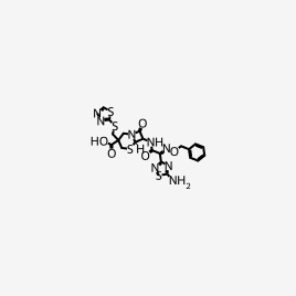 Nc1nc(C(=NOCc2ccccc2)C(=O)NC2C(=O)N3CC(CSc4nncs4)(C(=O)O)CS[C@H]23)ns1